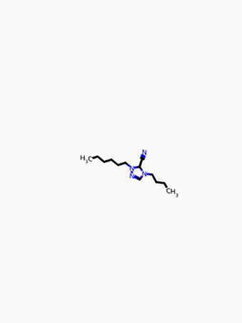 CCCCCCN1N=CN(CCCC)C1C#N